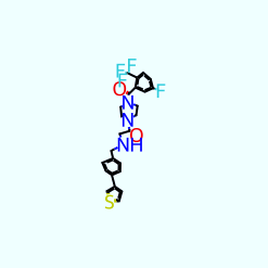 O=C(CNCc1ccc(-c2ccsc2)cc1)N1CCN(C(=O)c2cc(F)ccc2C(F)(F)F)CC1